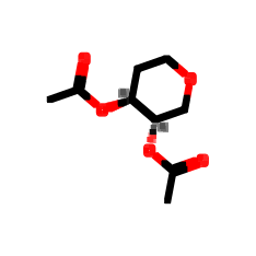 CC(=O)O[C@H]1CCOC[C@@H]1OC(C)=O